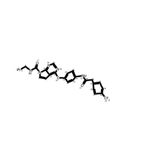 CC(C)CNC(=O)n1ccc2c(Oc3ccc(NC(=O)Cc4ccc(C(F)(F)F)cc4)cc3)ncnc21